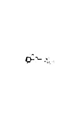 CC(C)(C)[Si](C)(C)OCCCn1c(=O)[nH]c2ccc(C(F)(F)F)cc2c1=O